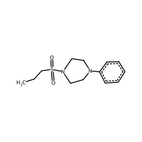 CCCS(=O)(=O)N1CCN(c2ccccc2)CC1